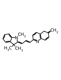 C=C1C=Cc2nc(C=CC=C3N(C)c4ccccc4C3(C)C)ccc2C1